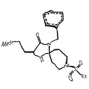 CCS(=O)(=O)N1CCC2(CC1)NC(CCSC)C(=O)N2Cc1ccccc1